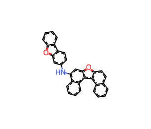 c1ccc2c(c1)ccc1oc3cc(Nc4ccc5c(c4)oc4ccccc45)c4ccccc4c3c12